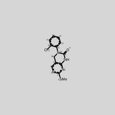 CSc1ncc2c(n1)NC(=O)N(c1ccccc1Cl)C2